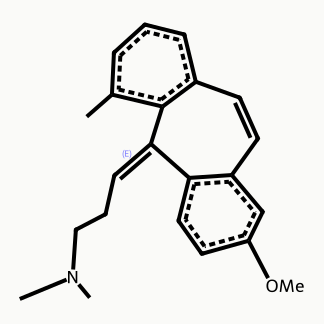 COc1ccc2c(c1)C=Cc1cccc(C)c1/C2=C/CCN(C)C